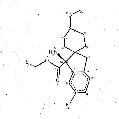 CCOC(=O)[C@@]1(N)c2cc(Br)ccc2CC12CCC(OC)CC2